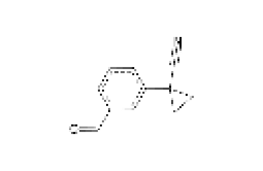 N#CC1(c2cccc(C=O)c2)CC1